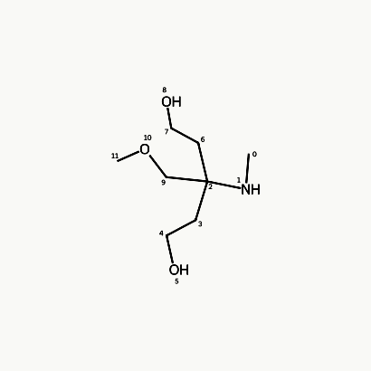 CNC(CCO)(CCO)COC